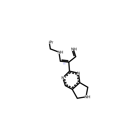 CC(C)CN/C=C(\C=N)c1ncc2c(n1)CNC2